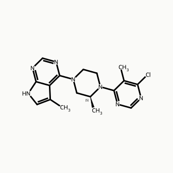 Cc1c(Cl)ncnc1N1CCN(c2ncnc3[nH]cc(C)c23)C[C@@H]1C